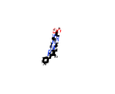 COC(=O)c1cnc(N2CCN(c3nnc(Cc4ccccc4)c(C)c3C)CC2)cn1